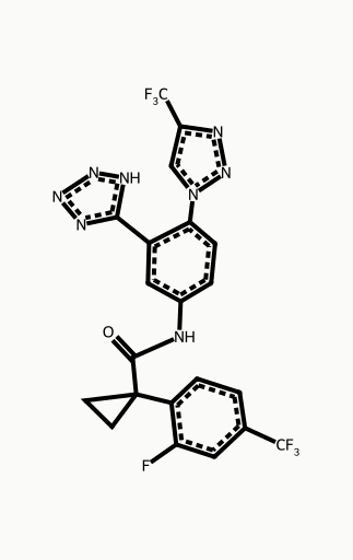 O=C(Nc1ccc(-n2cc(C(F)(F)F)nn2)c(-c2nnn[nH]2)c1)C1(c2ccc(C(F)(F)F)cc2F)CC1